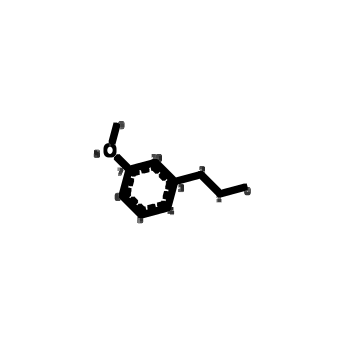 CCCc1c[c]cc(OC)c1